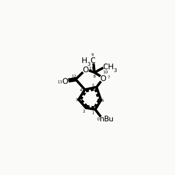 CCCCc1ccc2c(c1)OC(C)(C)OC2=O